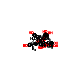 CC(C)(c1ccc(O)cc1)c1ccc(C2(C(=O)O)C=CC(C(=O)O)(c3ccc(C(C)(C)c4ccc(O)cc4)cc3)C(c3ccc(C(C)(C)c4ccc(O)cc4)cc3)(c3ccc(C(C)(C)c4ccc(O)cc4)cc3)C2(c2ccc(C(C)(C)c3ccc(O)cc3)cc2)c2ccc(C(C)(C)c3ccc(O)cc3)cc2)cc1